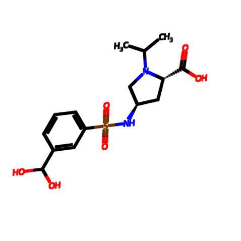 CC(C)N1C[C@H](NS(=O)(=O)c2cccc(C(O)O)c2)C[C@H]1C(=O)O